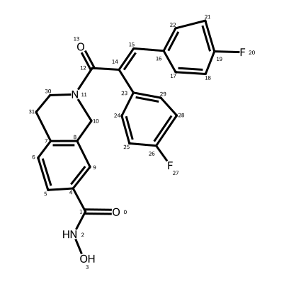 O=C(NO)c1ccc2c(c1)CN(C(=O)/C(=C/c1ccc(F)cc1)c1ccc(F)cc1)CC2